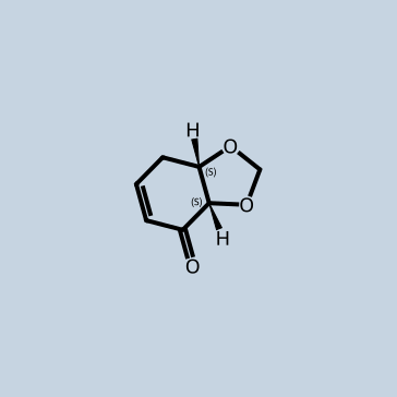 O=C1C=CC[C@@H]2OCO[C@H]12